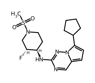 CS(=O)(=O)N1CC[C@@H](Nc2ncc3ccc(C4CCCC4)n3n2)[C@H](F)C1